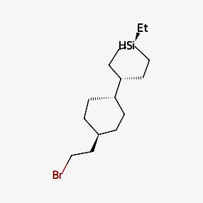 CC[Si@H]1CC[C@H]([C@H]2CC[C@H](CCBr)CC2)CC1